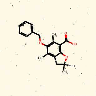 Cc1c2c(c(C(=O)O)c(C)c1OCc1ccccc1)OC(C)(C)C2